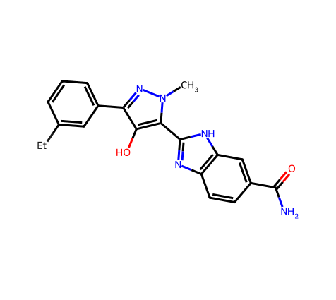 CCc1cccc(-c2nn(C)c(-c3nc4ccc(C(N)=O)cc4[nH]3)c2O)c1